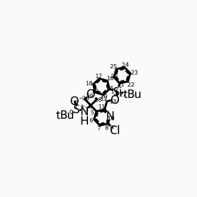 CC(C)(C)[S+]([O-])NC1(c2ccc(Cl)nc2CO[Si](c2ccccc2)(c2ccccc2)C(C)(C)C)COC1